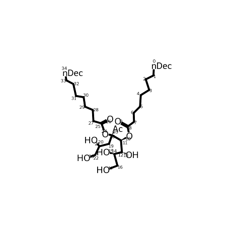 CCCCCCCCCCCCCCCCCC(=O)O[C@@H]([C@H](O)[C@H](O)CO)[C@@](CC(O)CO)(OC(=O)CCCCCCCCCCCCCCCCC)C(C)=O